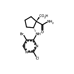 NC(=O)[C@@]1(C(=O)O)CCC[C@H]1Nc1nc(Cl)ncc1Br